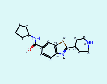 O=C(NC1CCCC1)c1ccc2nc(C3CCNCC3)sc2c1